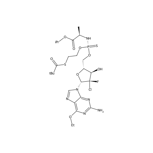 CCOc1nc(N)nc2c1ncn2[C@@H]1O[C@H](CO[P@@](=S)(N[C@H](C)C(=O)OC(C)C)OCCSC(=O)C(C)(C)C)[C@@H](O)[C@]1(F)Cl